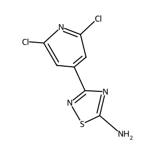 Nc1nc(-c2cc(Cl)nc(Cl)c2)ns1